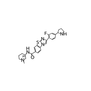 CN1CCC[C@@H](NC(=O)c2ccc3c(c2)sc2nc(-c4ccc(C5CCCN5)cc4F)cn23)C1